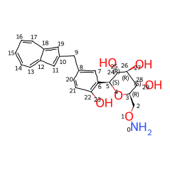 NOC[C@H]1O[C@@H](c2cc(Cc3cc4cccccc-4c3)ccc2O)[C@H](O)[C@@H](O)[C@@H]1O